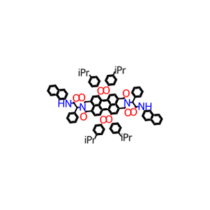 CC(C)c1ccc(Oc2cc3c4c(cc(Oc5ccc(C(C)C)cc5)c5c6c(Oc7ccc(C(C)C)cc7)cc7c8c(cc(Oc9ccc(C(C)C)cc9)c(c2c45)c86)C(=O)N(C(C(=O)Nc2ccc4ccccc4c2)c2ccccc2)C7=O)C(=O)N(C(C(=O)Nc2ccc4ccccc4c2)c2ccccc2)C3=O)cc1